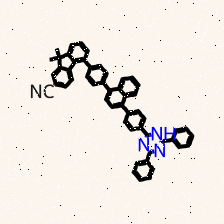 CC1(C)c2cc(C#N)ccc2-c2c(-c3ccc(-c4ccc(-c5ccc(C6N=C(c7ccccc7)N=C(c7ccccc7)N6)cc5)c5ccccc45)cc3)cccc21